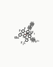 CC(C)(C)c1ccnc(-c2ncc(-c3cc(F)cc(F)c3-c3ccc(C(F)(F)F)cn3)c(C(C)(C)C)c2-c2cc(F)cc(F)c2-c2ccc(C(F)(F)F)cn2)c1.F[P-](F)(F)(F)(F)F.F[P-](F)(F)(F)(F)F.F[P-](F)(F)(F)(F)F.[Ir+3]